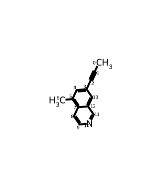 CC#Cc1cc(C)c2ccn[c]c2c1